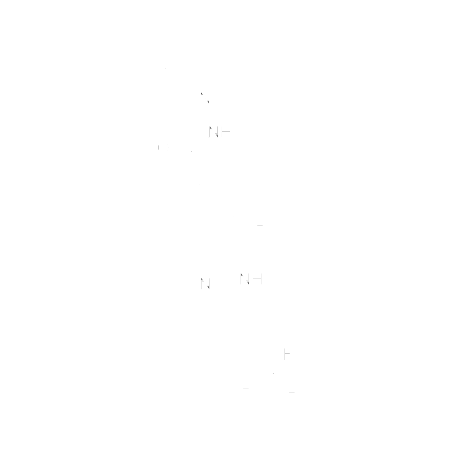 O=C(NN1CCCCC1)c1ccc(-c2nc3ccc(C(F)(F)F)cc3[nH]2)c(F)c1